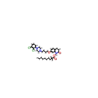 CCCCCCCCC(C)(C)C(=O)OCN1C(=O)CCc2ccc(OCCCCN3CCN(c4cccc(Cl)c4Cl)CC3)cc21